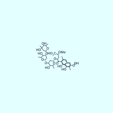 CO[C@H](C(=O)O)[C@@H]1Cc2cc3cc(OO)c(C)c(O)c3c(O)c2C(=O)[C@H]1O[C@H]1CC(O[C@H]2C[C@@H](O[C@H]3CC(C)(O)C(O)C(C)O3)C(O)C(C)O2)[C@H](O)C(C)O1